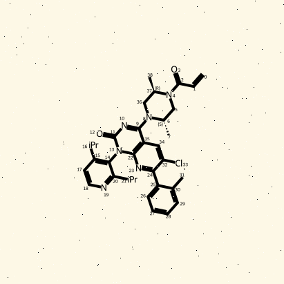 C=CC(=O)N1C[C@H](C)N(c2nc(=O)n(-c3c(C(C)C)ccnc3C(C)C)c3nc(-c4ccccc4C)c(Cl)cc23)C[C@H]1C